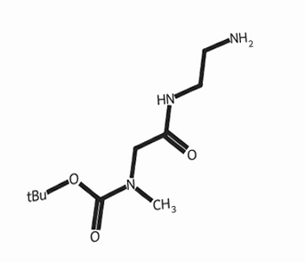 CN(CC(=O)NCCN)C(=O)OC(C)(C)C